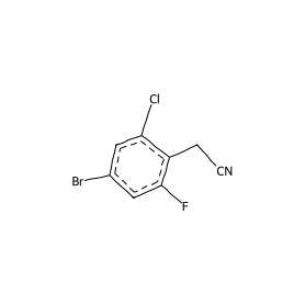 N#CCc1c(F)cc(Br)cc1Cl